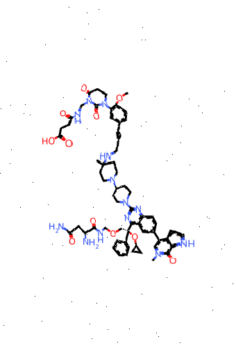 COc1ccc(C#CCNC2(C)CCN(C3CCN(c4nc([C@@](COCNC(=O)[C@@H](N)CC(N)=O)(OC5CC5)c5ccccc5)c5cc(-c6cn(C)c(=O)c7[nH]ccc67)ccc5n4)CC3)CC2)cc1N1CCC(=O)N(CNC(=O)CCC(=O)O)C1=O